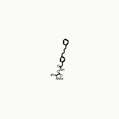 CN[C@H](C(=O)ONC(=O)Cc1ccc(CCCCc2ccccc2)cc1)C(C)C